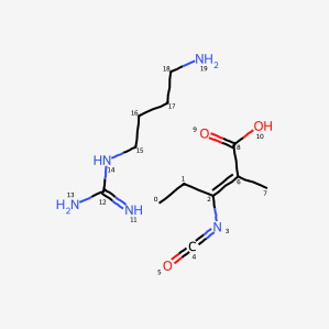 CC/C(N=C=O)=C(/C)C(=O)O.N=C(N)NCCCCN